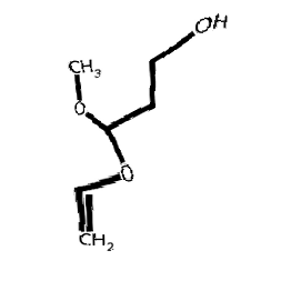 C=COC(CCO)OC